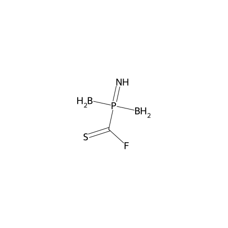 BP(B)(=N)C(F)=S